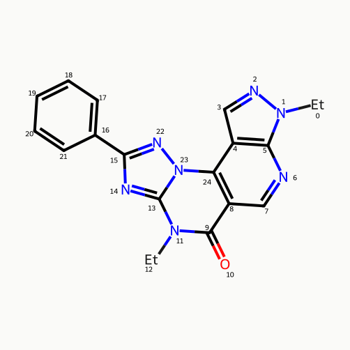 CCn1ncc2c1ncc1c(=O)n(CC)c3nc(-c4ccccc4)nn3c12